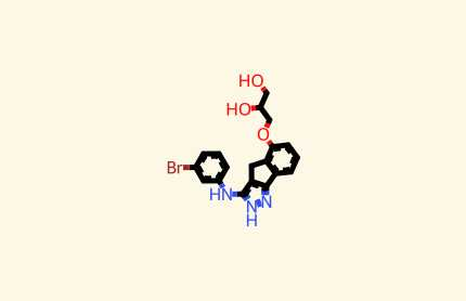 OCC(O)COc1cccc2c1Cc1c-2n[nH]c1Nc1cccc(Br)c1